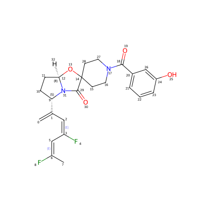 C=C(/C=C(F)\C=C(/C)F)[C@@H]1CC[C@H]2OC3(CCN(C(=O)c4cccc(O)c4)CC3)C(=O)N21